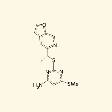 CSc1cc(N)nc(S[C@H](C)c2cc3ccoc3cn2)n1